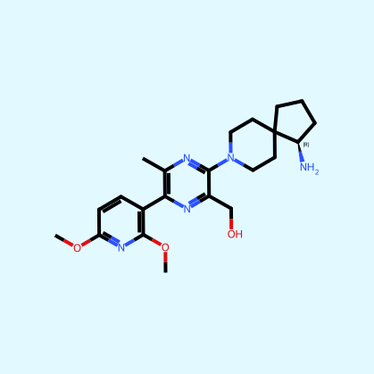 COc1ccc(-c2nc(CO)c(N3CCC4(CCC[C@H]4N)CC3)nc2C)c(OC)n1